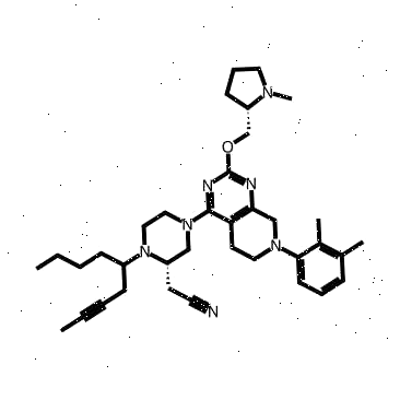 CC#CCC(CCCC)N1CCN(c2nc(OC[C@@H]3CCCN3C)nc3c2CCN(c2cccc(C)c2C)C3)C[C@@H]1CC#N